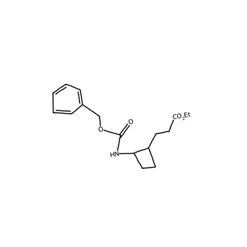 CCOC(=O)CCC1CCC1NC(=O)OCc1ccccc1